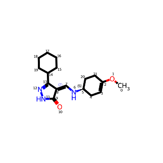 COC1=CC[C@@H](N/C=C2\C(=O)NN=C2C2CCCCC2)CC1